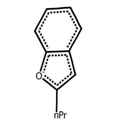 C[CH]Cc1cc2ccccc2o1